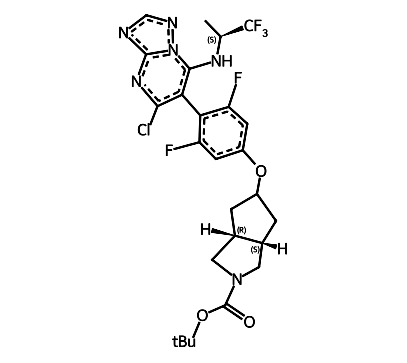 C[C@H](Nc1c(-c2c(F)cc(OC3C[C@@H]4CN(C(=O)OC(C)(C)C)C[C@@H]4C3)cc2F)c(Cl)nc2ncnn12)C(F)(F)F